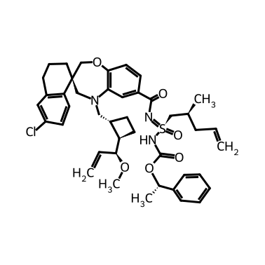 C=CC[C@H](C)C[S@](=O)(=NC(=O)c1ccc2c(c1)N(C[C@@H]1CC[C@H]1[C@H](C=C)OC)C[C@@]1(CCCc3cc(Cl)ccc31)CO2)NC(=O)O[C@@H](C)c1ccccc1